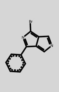 BrC1=C2C=NC=C2C(c2ccccc2)=N1